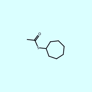 CC(=O)SC1CCCCCC1